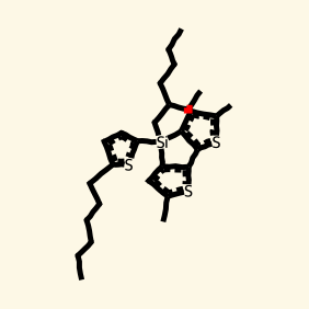 CCCCCCc1ccc([Si]2(CC(CC)CCCC)c3cc(C)sc3-c3sc(C)cc32)s1